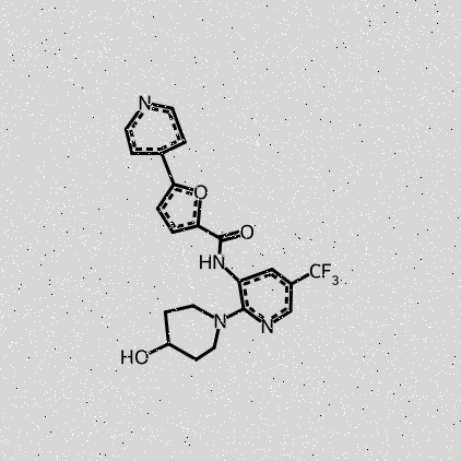 O=C(Nc1cc(C(F)(F)F)cnc1N1CCC(O)CC1)c1ccc(-c2ccncc2)o1